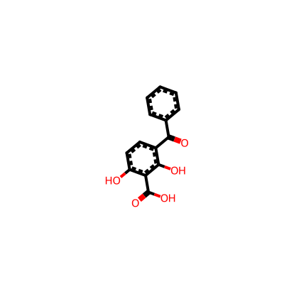 O=C(c1ccccc1)c1ccc(O)c(C(=O)O)c1O